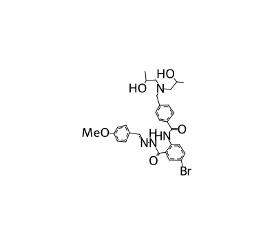 COc1ccc(C=NNC(=O)c2cc(Br)ccc2NC(=O)c2ccc(CN(CC(C)O)CC(C)O)cc2)cc1